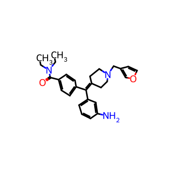 CCN(CC)C(=O)c1ccc(C(=C2CCN(Cc3ccoc3)CC2)c2cccc(N)c2)cc1